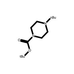 [CH2]CCCN1CCN(C(=O)OC(C)(C)C)CC1